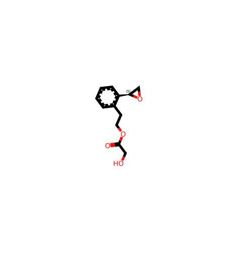 O=C(CO)OCCc1ccccc1[C@H]1CO1